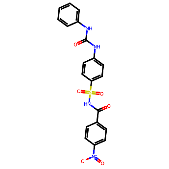 O=C(Nc1ccccc1)Nc1ccc(S(=O)(=O)NC(=O)c2ccc([N+](=O)[O-])cc2)cc1